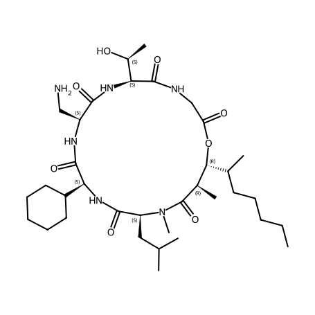 CCCCCC(C)[C@H]1OC(=O)CNC(=O)[C@H]([C@H](C)O)NC(=O)[C@H](CN)NC(=O)[C@H](C2CCCCC2)NC(=O)[C@H](CC(C)C)N(C)C(=O)[C@@H]1C